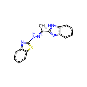 C/C(=N\Nc1nc2ccccc2s1)c1nc2ccccc2[nH]1